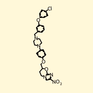 O=[N+]([O-])c1cn2c(n1)OC(COc1ccc(N3CCN(Cc4cccc(Oc5ccc(Cl)cc5)c4)CC3)cc1)CC2